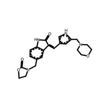 O=C1Nc2ccc(CN3CCOC3=O)cc2/C1=C/c1c[nH]c(CN2CCOCC2)c1